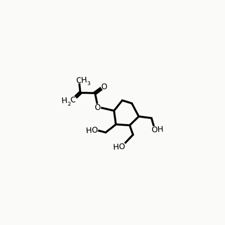 C=C(C)C(=O)OC1CCC(CO)C(CO)C1CO